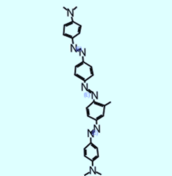 Cc1cc(/N=N/c2ccc(N(C)C)cc2)ccc1/N=N/c1ccc(/N=N/c2ccc(N(C)C)cc2)cc1